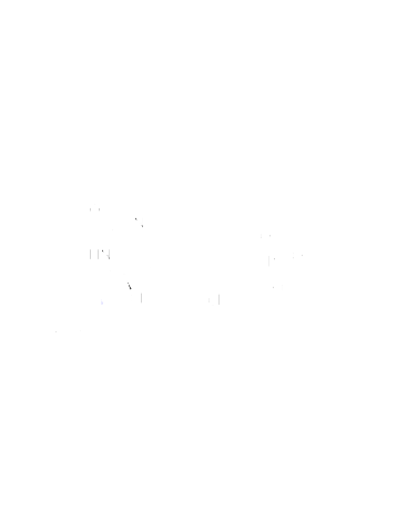 O=C1Nc2cc(OCP(=O)(OCc3ccccc3)OCc3ccccc3)c(Cl)cc2[C@@](/C=C/C2CC2)(C(F)(F)F)N1